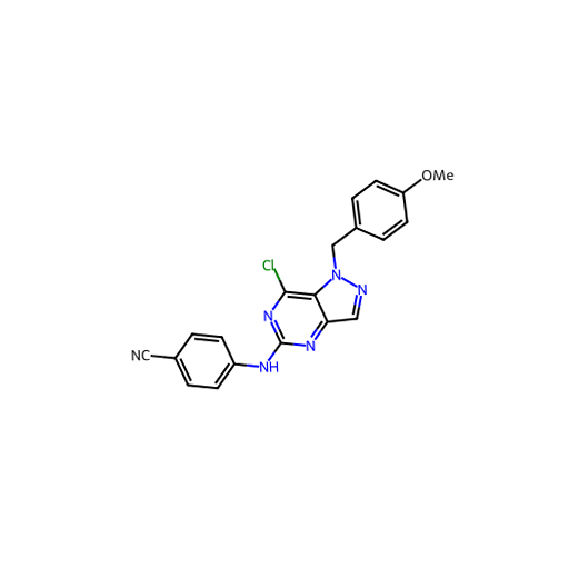 COc1ccc(Cn2ncc3nc(Nc4ccc(C#N)cc4)nc(Cl)c32)cc1